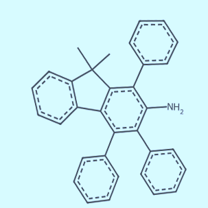 CC1(C)c2ccccc2-c2c(-c3ccccc3)c(-c3ccccc3)c(N)c(-c3ccccc3)c21